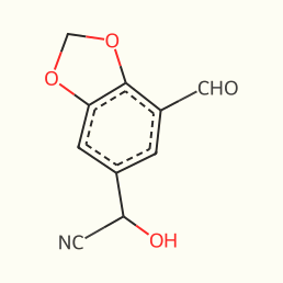 N#CC(O)c1cc(C=O)c2c(c1)OCO2